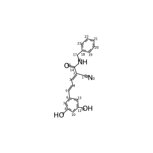 N#C/C(=C\C=C\c1cc(O)cc(O)c1)C(=O)NCc1ccccc1